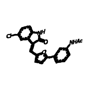 CC(=O)Nc1cccc(-c2ccc(/C=C3\C(=O)Nc4ccc(Cl)cc43)o2)c1